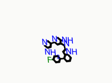 Nc1cncc(-c2cc3c(-c4cc5c(-c6ccc(F)cc6)cccc5[nH]4)n[nH]c3cn2)c1